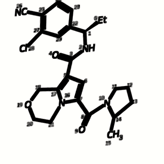 CC[C@@H](NC(=O)c1cc(C(=O)N2CCCC2C)n2c1COCC2)c1ccc(C#N)c(Cl)c1